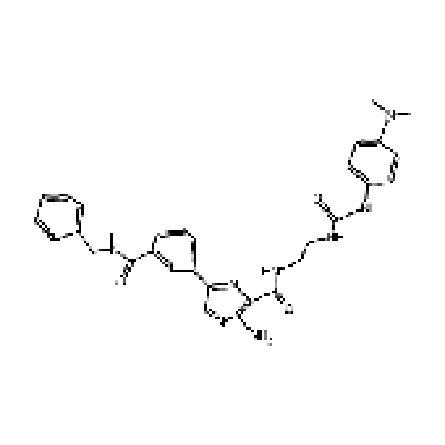 CN(C)c1ccc(NC(=O)NCCNC(=O)c2nc(-c3cccc(C(=O)NCc4ccccc4)c3)cnc2N)cc1